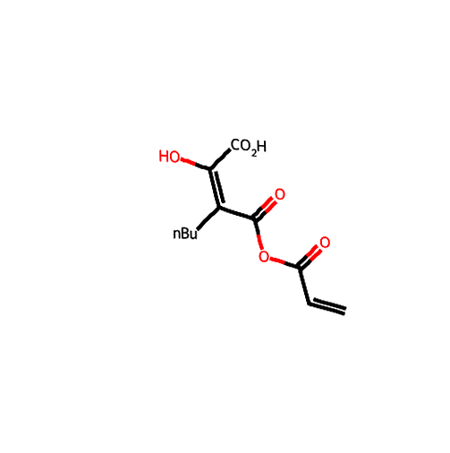 C=CC(=O)OC(=O)/C(CCCC)=C(/O)C(=O)O